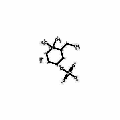 CCC1CCCC[N+]1(C)C.O=S(=O)([O-])[O-].[H+]